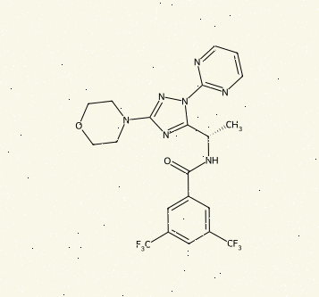 C[C@H](NC(=O)c1cc(C(F)(F)F)cc(C(F)(F)F)c1)c1nc(N2CCOCC2)nn1-c1ncccn1